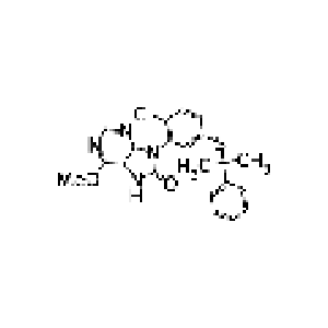 COC1=NC=NC2C1NC(=O)N2c1cc(SC(C)(C)c2ccccc2)ccc1Cl